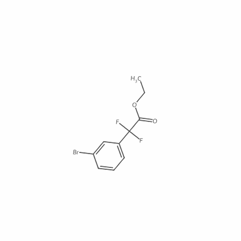 CCOC(=O)C(F)(F)c1cccc(Br)c1